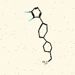 CCC1CCC(C2CCC(c3cccc(F)c3F)CC2)CC1